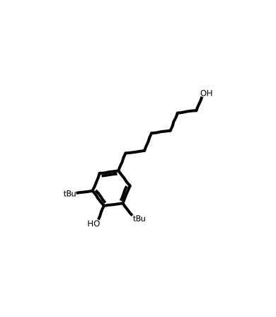 CC(C)(C)c1cc(CCCCCCO)cc(C(C)(C)C)c1O